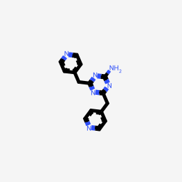 Nc1nc(Cc2ccncc2)nc(Cc2ccncc2)n1